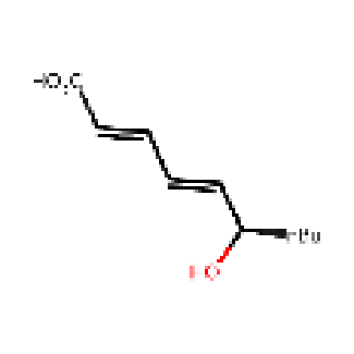 CCCC[C@@H](O)C=CC=CC(=O)O